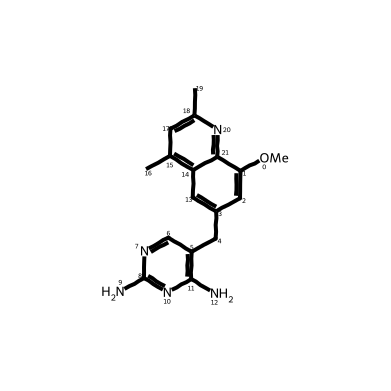 COc1cc(Cc2cnc(N)nc2N)cc2c(C)cc(C)nc12